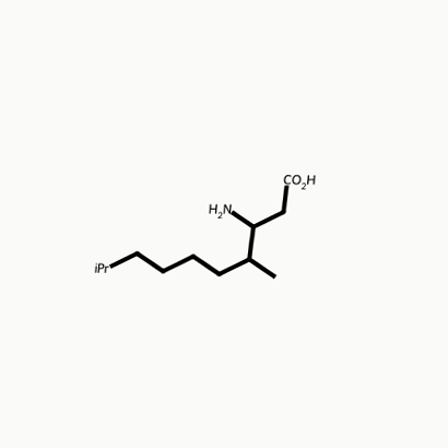 CC(C)CCCCC(C)C(N)CC(=O)O